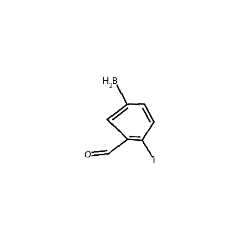 Bc1ccc(I)c(C=O)c1